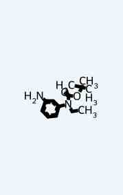 CCN(C(=O)OC(C)(C)C)c1cccc(N)c1